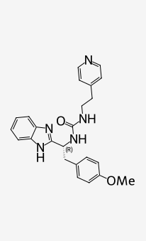 COc1ccc(C[C@@H](NC(=O)NCCc2ccncc2)c2nc3ccccc3[nH]2)cc1